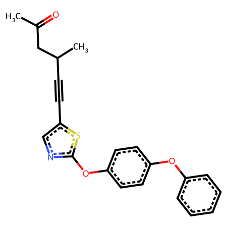 CC(=O)CC(C)C#Cc1cnc(Oc2ccc(Oc3ccccc3)cc2)s1